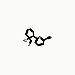 N#Cc1cccc(C2C=CC=CC2(O)C=O)n1